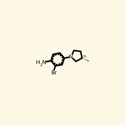 C[C@H]1CCN(c2ccc(N)c(Br)c2)C1